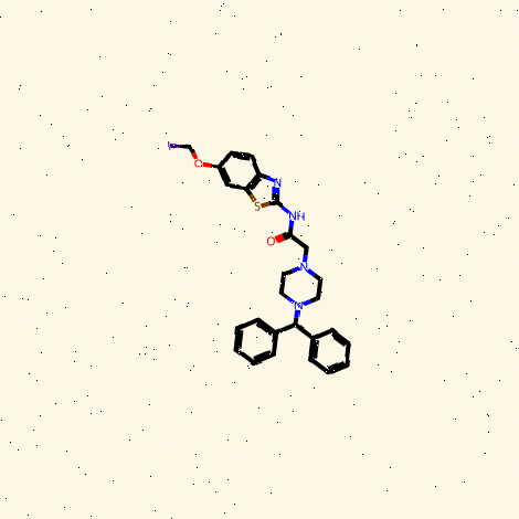 O=C(CN1CCN(C(c2ccccc2)c2ccccc2)CC1)Nc1nc2ccc(OCI)cc2s1